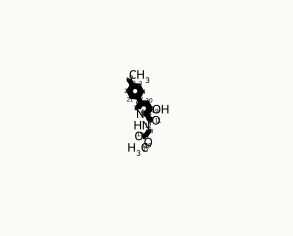 CCc1ccc(-c2cnc(C(=O)NCC(=O)OC)c(O)c2)cc1